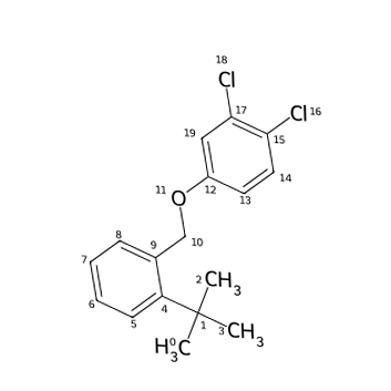 CC(C)(C)c1ccccc1COc1ccc(Cl)c(Cl)c1